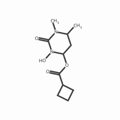 CC1CC(OC(=O)C2CCC2)N(O)C(=O)N1C